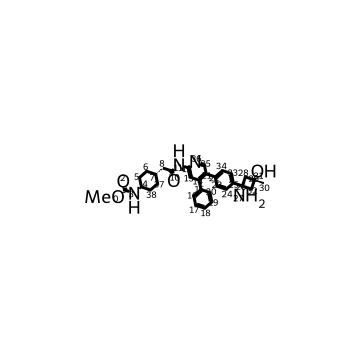 COC(=O)N[C@H]1CC[C@H](CC(=O)Nc2cc(-c3ccccc3)c(-c3ccc([C@]4(N)C[C@](C)(O)C4)cc3)cn2)CC1